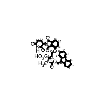 CN(C(=O)OCC1c2ccccc2-c2ccccc21)[C@@H](CCOc1cccc2c1C(=O)N(C1CCC(=O)NC1=O)C2=O)C(=O)O